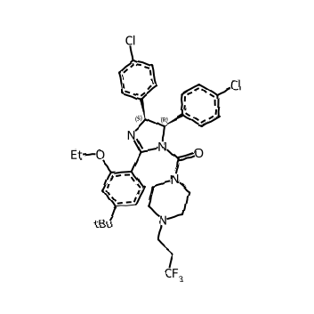 CCOc1cc(C(C)(C)C)ccc1C1=N[C@@H](c2ccc(Cl)cc2)[C@@H](c2ccc(Cl)cc2)N1C(=O)N1CCN(CCC(F)(F)F)CC1